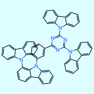 c1cc(-c2nc(-n3c4ccccc4c4ccccc43)nc(-n3c4ccccc4c4ccccc43)n2)cc(-n2c3ccccc3c3cccc(-n4c5ccccc5c5ccccc54)c32)c1